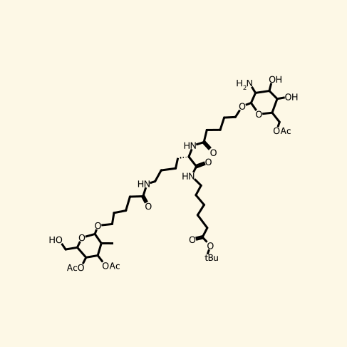 CC(=O)OCC1OC(OCCCCC(=O)N[C@@H](CCCCNC(=O)CCCCOC2OC(CO)C(OC(C)=O)C(OC(C)=O)C2C)C(=O)NCCCCCC(=O)OC(C)(C)C)C(N)C(O)C1O